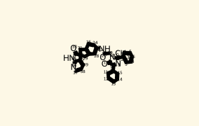 C[C@]1(c2ccccc2)N=C(c2ccccc2)C(=O)N1CC(=O)Nc1ccc2c(c1)CC1(C2)C(=O)Nc2ncccc21